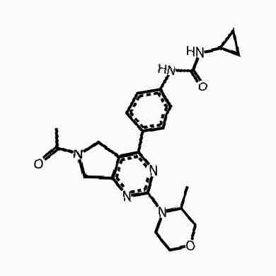 CC(=O)N1Cc2nc(N3CCOCC3C)nc(-c3ccc(NC(=O)NC4CC4)cc3)c2C1